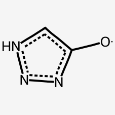 [O]c1c[nH]nn1